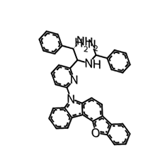 NC(NC(c1cccc(-n2c3ccccc3c3c4oc5ccccc5c4ccc32)n1)[C@@H](N)c1ccccc1)c1ccccc1